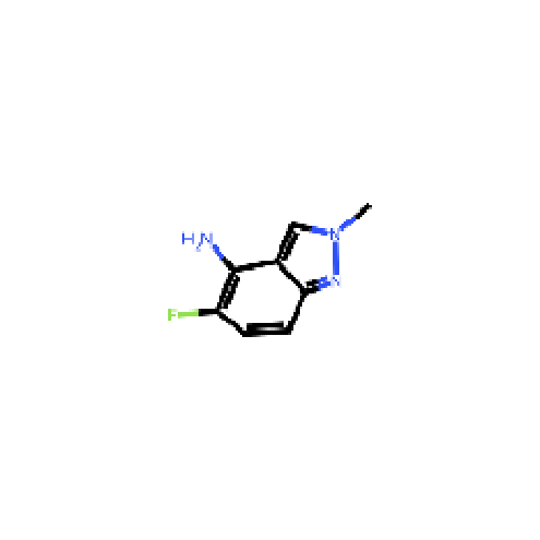 Cn1cc2c(N)c(F)ccc2n1